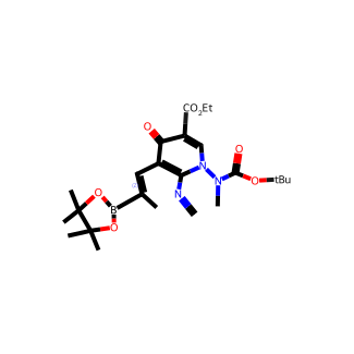 C=Nc1c(/C=C(\C)B2OC(C)(C)C(C)(C)O2)c(=O)c(C(=O)OCC)cn1N(C)C(=O)OC(C)(C)C